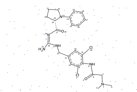 CN(C)CC(=O)Nc1c(Cl)cc(CN/C(N)=N\C(=O)[C@@H]2CCCN2c2ccccc2)cc1Cl